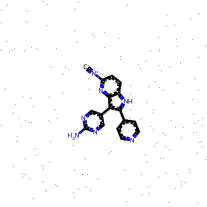 [C-]#[N+]c1ccc2[nH]c(-c3ccncc3)c(-c3cnc(N)nc3)c2n1